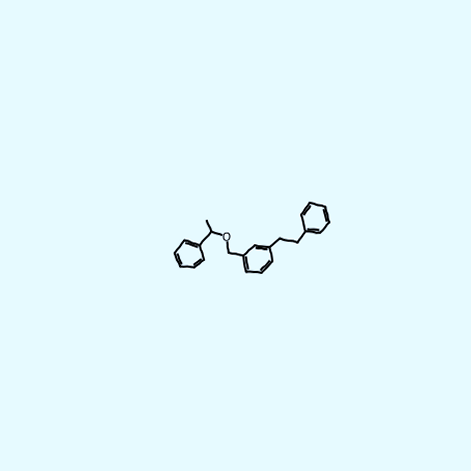 CC(OCc1cccc(CCc2ccccc2)c1)c1ccccc1